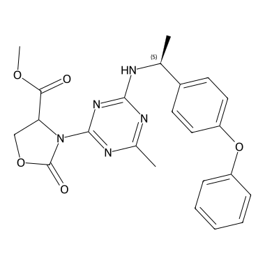 COC(=O)C1COC(=O)N1c1nc(C)nc(N[C@@H](C)c2ccc(Oc3ccccc3)cc2)n1